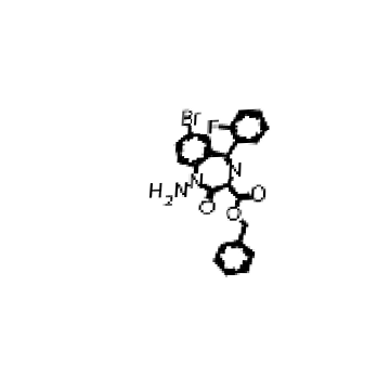 NN1C(=O)C(C(=O)OCc2ccccc2)N=C(c2ccccc2F)c2cc(Br)ccc21